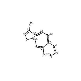 FC1=CCN2C=c3ccccc3=NC=C12